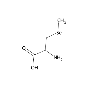 C[Se]CC(N)C(=O)O